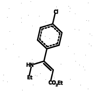 CCN/C(=C\C(=O)OCC)c1ccc(Cl)cc1